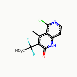 Cc1c(C(F)(F)C(=O)O)c(=O)[nH]c2ccnc(Cl)c12